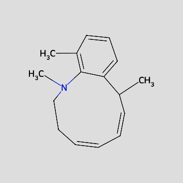 Cc1cccc2c1N(C)CC/C=C\C=C/C2C